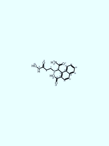 NC(=O)C(SCCC(=O)NO)c1c(C(=O)O)ccc2ccccc12